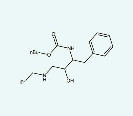 CCCCOC(=O)NC(Cc1ccccc1)C(O)CNCC(C)C